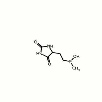 CP(O)CCC1NC(=O)NC1=O